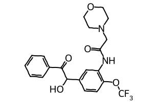 O=C(CN1CCOCC1)Nc1cc(C(O)C(=O)c2ccccc2)ccc1OC(F)(F)F